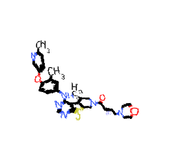 Cc1ccc(Oc2ccc(Nc3ncnc4sc5c(c34)[C@H](C)CN(C(=O)/C=C/CN3CCOCC3)C5)cc2C)cn1